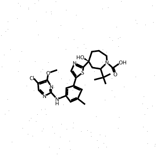 COc1nc(Nc2cc(C)cc(-c3cnc([C@]4(O)CCCN(C(=O)O)C(C(C)(C)C)C4)s3)c2)ncc1Cl